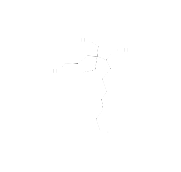 CCCCCCCCCCCCCCCCC(C(=O)O)C(CO)(CO)CCCO